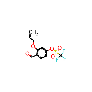 C=CCOc1cc(OS(=O)(=O)C(F)(F)F)ccc1C=O